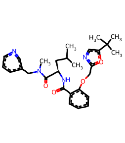 CC(C)C[C@@H](NC(=O)c1ccccc1OCc1ncc(C(C)(C)C)o1)C(=O)N(C)Cc1cccnc1